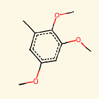 COc1cc(C)c(OC)c(OC)c1